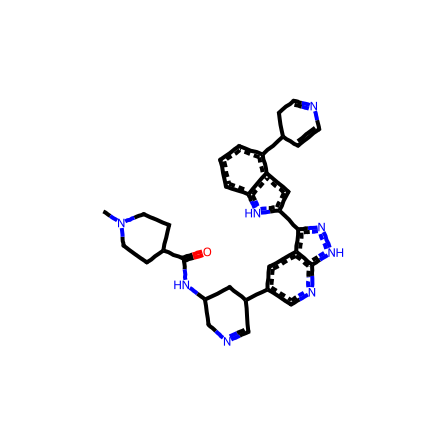 CN1CCC(C(=O)NC2CN=CC(c3cnc4[nH]nc(-c5cc6c(C7C=CN=CC7)cccc6[nH]5)c4c3)C2)CC1